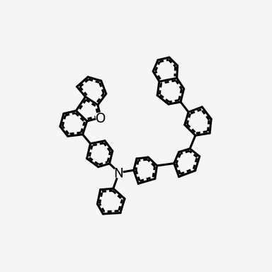 c1ccc(N(c2ccc(-c3cccc(-c4cccc(-c5ccc6ccccc6c5)c4)c3)cc2)c2ccc(-c3cccc4c3oc3ccccc34)cc2)cc1